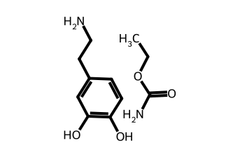 CCOC(N)=O.NCCc1ccc(O)c(O)c1